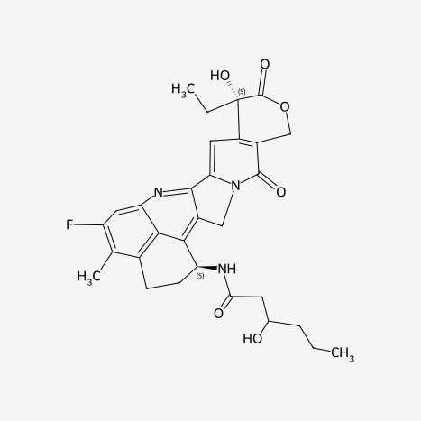 CCCC(O)CC(=O)N[C@H]1CCc2c(C)c(F)cc3nc4c(c1c23)Cn1c-4cc2c(c1=O)COC(=O)[C@]2(O)CC